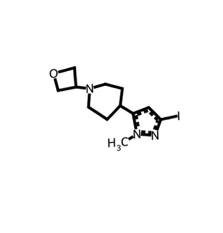 Cn1nc(I)cc1C1CCN(C2COC2)CC1